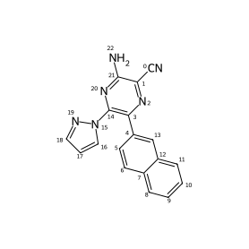 N#Cc1nc(-c2ccc3ccccc3c2)c(-n2cccn2)nc1N